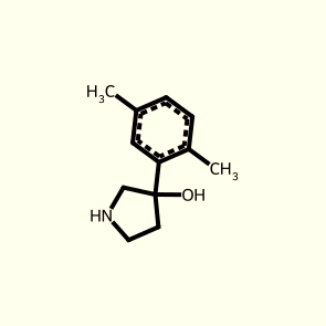 Cc1ccc(C)c(C2(O)CCNC2)c1